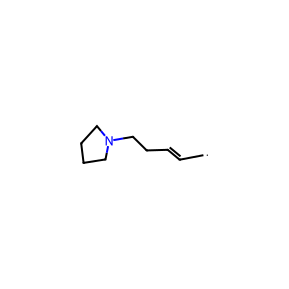 [CH2]C=CCCN1CCCC1